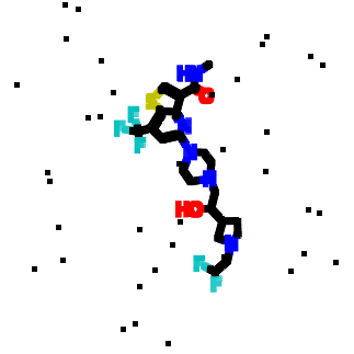 CNC(=O)c1csc2c(C(F)(F)F)cc(N3CCN(CC(O)C4CCN(CC(F)F)C4)CC3)nc12